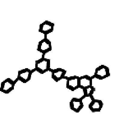 c1ccc(-c2ccc(-c3nc(-c4ccc(-c5ccccc5)cc4)nc(-c4ccc(-c5ccc6c(c5)cc(-c5ccccc5)n5nc(-c7ccccc7)c(-c7ccccc7)c65)cc4)n3)cc2)cc1